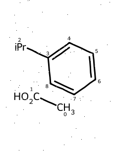 CC(=O)O.CC(C)c1ccccc1